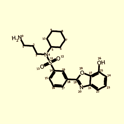 NCCCN(C1CCCCC1)S(=O)(=O)c1cccc(-c2nc3cccc(O)c3o2)c1